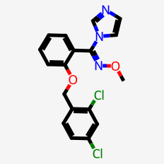 CON=C(c1ccccc1OCc1ccc(Cl)cc1Cl)n1ccnc1